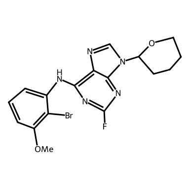 COc1cccc(Nc2nc(F)nc3c2ncn3C2CCCCO2)c1Br